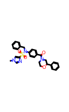 Cn1cnc(S(=O)(=O)N(Cc2ccccc2)c2ccc(C(=O)N3CCOC(c4ccccc4)C3)cc2)c1